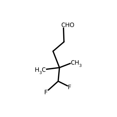 CC(C)(CCC=O)C(F)F